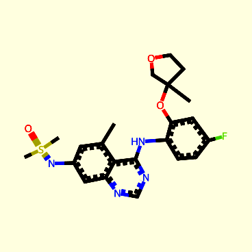 Cc1cc(N=S(C)(C)=O)cc2ncnc(Nc3ccc(F)cc3OC3(C)CCOC3)c12